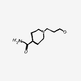 NC(=O)C1CCN(CCC[O])CC1